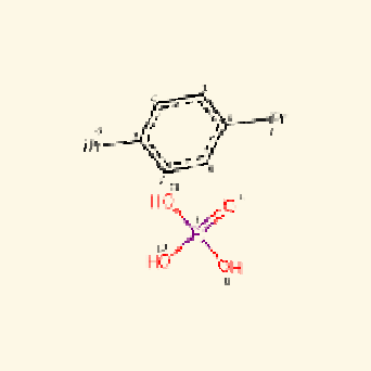 CC(C)c1ccc(C(C)C)cc1.O=P(O)(O)O